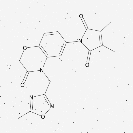 CC1=C(C)C(=O)N(c2ccc3c(c2)N(Cc2noc(C)n2)C(=O)CO3)C1=O